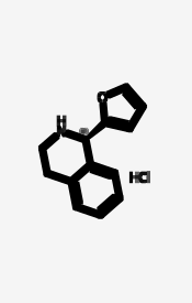 Cl.c1coc([C@@H]2NCCc3ccccc32)c1